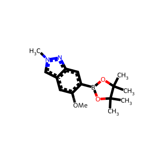 COc1cc2cn(C)nc2cc1B1OC(C)(C)C(C)(C)O1